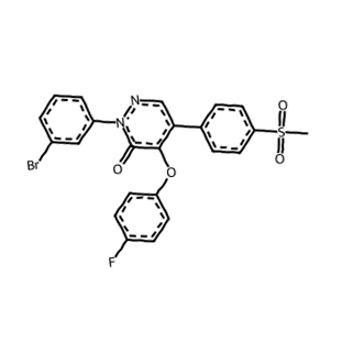 CS(=O)(=O)c1ccc(-c2cnn(-c3cccc(Br)c3)c(=O)c2Oc2ccc(F)cc2)cc1